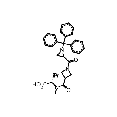 CC(C)[C@@H](C(=O)O)N(C)C(=O)C1CN(C(=O)C2CN2C(c2ccccc2)(c2ccccc2)c2ccccc2)C1